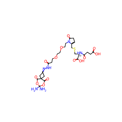 NC1(N)OC(=O)C2(CC(=NNC(=O)CCOCCOCCN3C(=O)CC=C3CSC[C@@H](NC(=O)CCC(=O)O)C(=O)O)C2)C(=O)O1